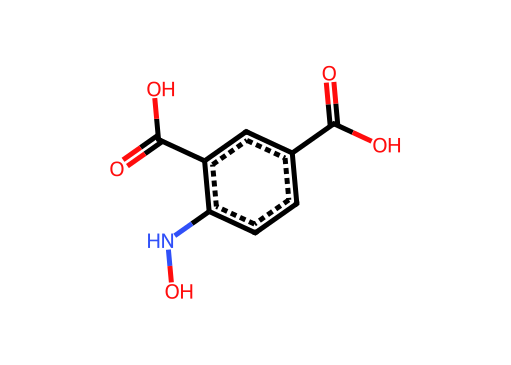 O=C(O)c1ccc(NO)c(C(=O)O)c1